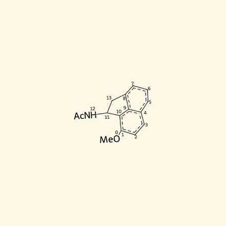 COc1ccc2cccc3c2c1C(NC(C)=O)C3